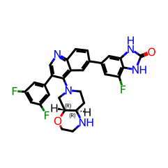 O=c1[nH]c2cc(-c3ccc4ncc(-c5cc(F)cc(F)c5)c(N5CC[C@H]6NCCO[C@@H]6C5)c4c3)cc(F)c2[nH]1